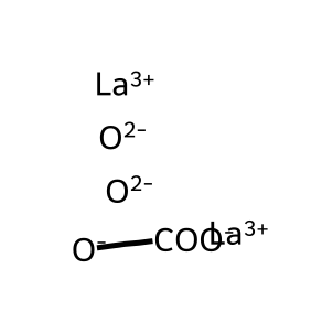 O=C([O-])[O-].[La+3].[La+3].[O-2].[O-2]